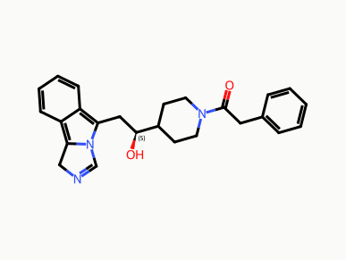 O=C(Cc1ccccc1)N1CCC([C@@H](O)Cc2c3ccccc3c3n2C=NC3)CC1